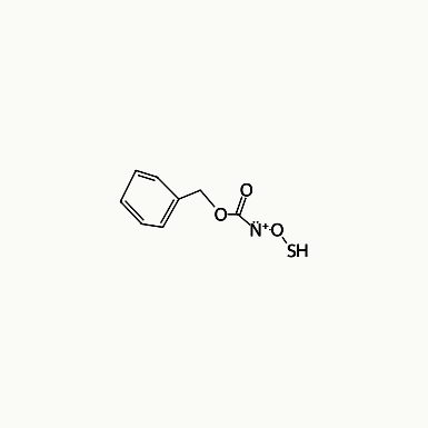 O=C([N+]OS)OCc1ccccc1